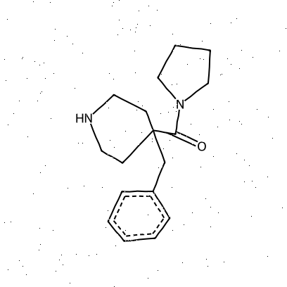 O=C(N1CCCC1)C1(Cc2ccccc2)CCNCC1